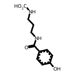 O=C(O)NCCCNC(=O)c1ccc(O)cc1